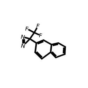 FC(F)(F)C1(c2ccc3ccccc3c2)N=N1